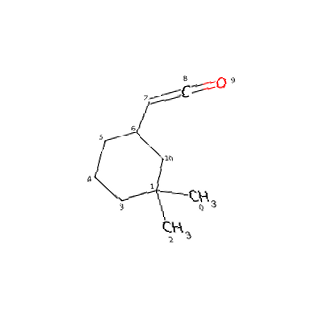 CC1(C)CCCC(C=C=O)C1